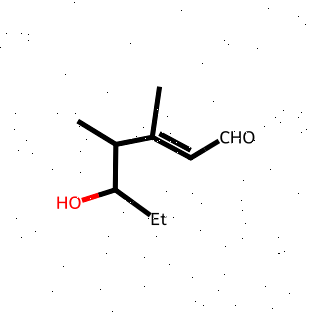 CCC(O)C(C)C(C)=CC=O